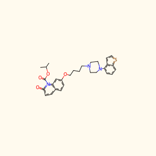 CC(C)OC(=O)n1c(=O)ccc2ccc(OCCCCN3CCN(c4cccc5sccc45)CC3)cc21